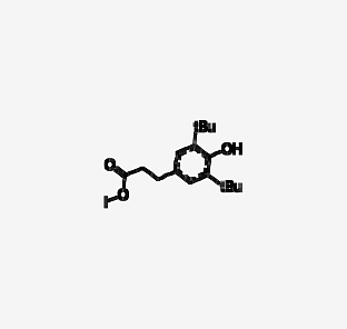 CC(C)(C)c1cc(CCC(=O)OI)cc(C(C)(C)C)c1O